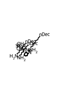 CCCCCCCCCCCCCCCCCCN.CCCCCCCCCCCCCCCCCCN.CCCCCCCCCCCCCCCCCCN.OP(O)(O)=S.c1ccc2[nH]nnc2c1